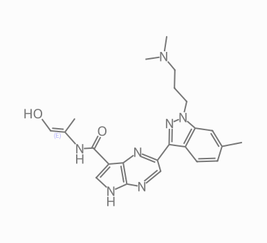 C/C(=C\O)NC(=O)c1c[nH]c2ncc(-c3nn(CCCN(C)C)c4cc(C)ccc34)nc12